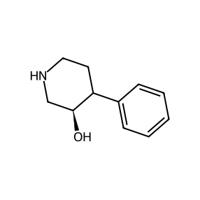 O[C@H]1CNCCC1c1ccccc1